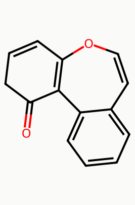 O=C1CC=CC2=C1c1ccccc1C=CO2